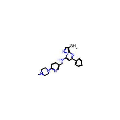 Bc1cnn2c(NCc3ccc(N4CCN(C)CC4)nc3)cc(-c3ccccc3)nc12